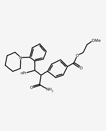 CCCC(c1ccccc1N1CCCCC1)C(C(N)=O)c1ccc(C(=O)OCCOC)cc1